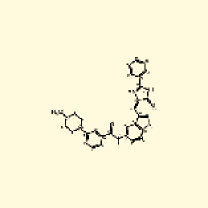 CN1CCN(c2cccc(C(=O)Nc3cnc4[nH]cc(C=C5N=C(c6ccccc6)NC5=O)c4c3)c2)CC1